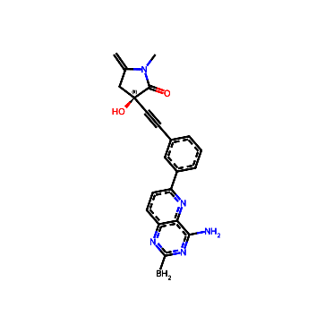 Bc1nc(N)c2nc(-c3cccc(C#C[C@]4(O)CC(=C)N(C)C4=O)c3)ccc2n1